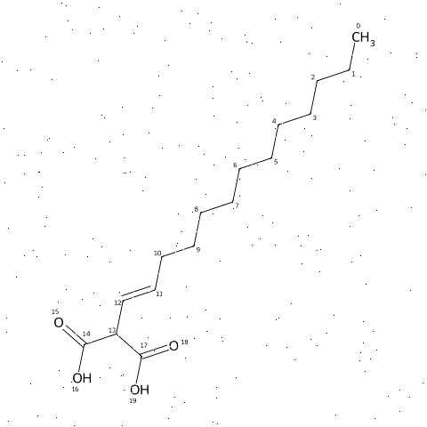 CCCCCCCCCCC/C=C/C(C(=O)O)C(=O)O